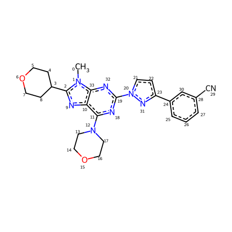 Cn1c(C2CCOCC2)nc2c(N3CCOCC3)nc(-n3ccc(-c4cccc(C#N)c4)n3)nc21